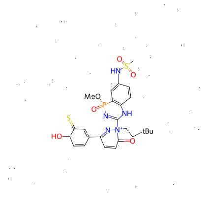 COP1(=O)N=C([N+]2(CCC(C)(C)C)N=C(C3=CC(=S)C(O)C=C3)C=CC2=O)Nc2ccc(NS(C)(=O)=O)cc21